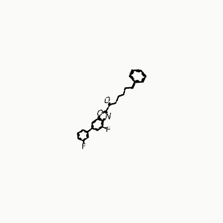 O=C(CCCCCc1ccccc1)c1nc2c(F)cc(-c3cccc(F)c3)cc2o1